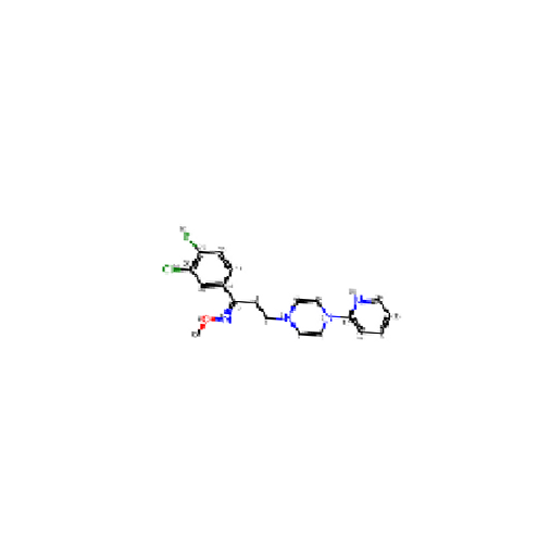 CON=C(CCN1CCN(c2ccccn2)CC1)c1ccc(F)c(Cl)c1